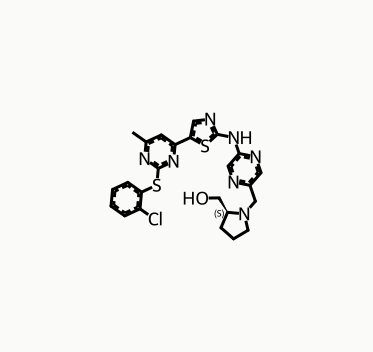 Cc1cc(-c2cnc(Nc3cnc(CN4CCC[C@H]4CO)cn3)s2)nc(Sc2ccccc2Cl)n1